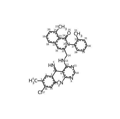 Cc1cc(C(=N)c2c(N)ncnc2NCc2cc3cccc(C)c3c(=O)n2-c2ccccc2C)ccc1Cl